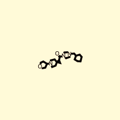 O=C(C1CC12CCN(C1CCOCC1)CC2)N1CCN(CC2CCCCC2)CC1